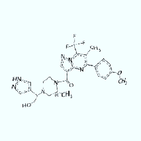 COc1ccc(-c2nc3c(C(=O)N4CCN(C(CO)c5cn[nH]c5)C[C@H]4C)cnn3c(C(F)(F)F)c2C)cc1